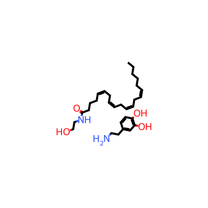 CCCCC/C=C\C/C=C\C/C=C\C/C=C\CCCC(=O)NCCO.NCCc1ccc(O)c(O)c1